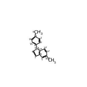 Cc1ccc(-n2ccc3cc(C)ccc32)cc1